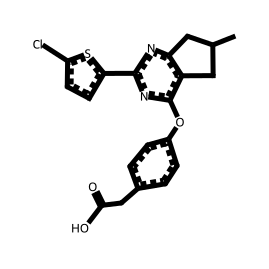 CC1Cc2nc(-c3ccc(Cl)s3)nc(Oc3ccc(CC(=O)O)cc3)c2C1